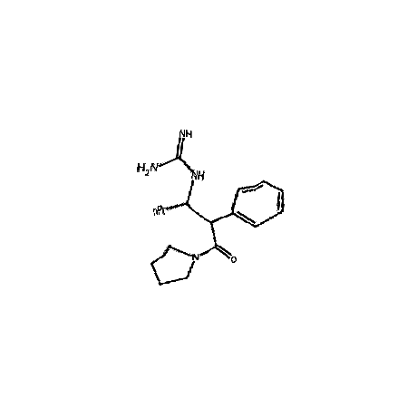 CCCC(NC(=N)N)C(C(=O)N1CCCC1)c1ccccc1